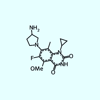 COc1c(F)c(N2CCC(N)C2)c(C)c2c1c(=O)[nH]c(=O)n2C1CC1